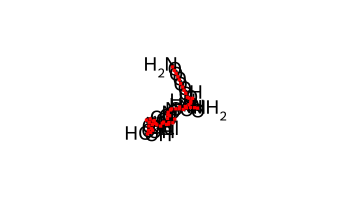 CC(C)C(NC(=O)CCOCCOCCOCCOCCOCCOCCN)C(=O)NC(CCCNC(N)=O)C(=O)Nc1ccc(COC(=O)N(C)CCN(C)C(=O)Oc2cc3c(c4ccccc24)C(CCl)CN3C(=O)c2ccc(C(=O)N3CC(CCl)c4c3cc(OC3OC(CO)C(O)C(O)C3O)c3ccccc43)s2)cc1